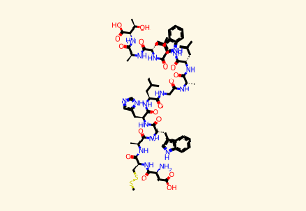 CSSC[C@H](NC(=O)[C@@H](N)CC(=O)O)C(=O)N[C@@H](C)C(=O)N[C@@H](Cc1c[nH]c2ccccc12)C(=O)N[C@@H](Cc1cnc[nH]1)C(=O)N[C@@H](CC(C)C)C(=O)NCC(=O)N[C@@H](C)C(=O)N[C@@H](CC(C)C)C(=O)N[C@H](C(=O)N[C@@H](Cc1c[nH]c2ccccc12)C(=O)N[C@@H](C)C(=O)N[C@H](C(=O)O)[C@@H](C)O)C(C)C